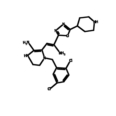 NC1=C(/C=C(\N)c2nnc(C3CCNCC3)o2)N(Cc2cc(Cl)ccc2Cl)CCN1